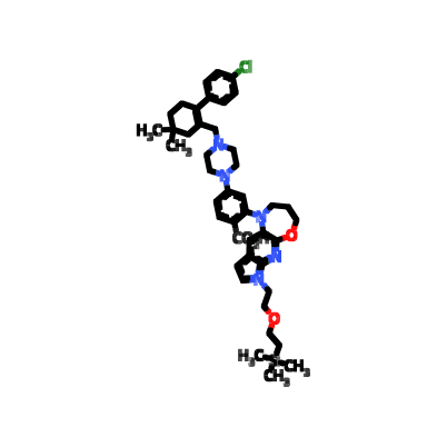 CC1(C)CCC(c2ccc(Cl)cc2)=C(CN2CCN(c3ccc(C(=O)O)c(N4CCCOc5nc6c(ccn6CCOCC[Si](C)(C)C)cc54)c3)CC2)C1